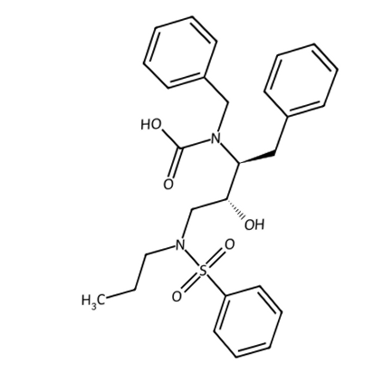 CCCN(C[C@@H](O)[C@H](Cc1ccccc1)N(Cc1ccccc1)C(=O)O)S(=O)(=O)c1ccccc1